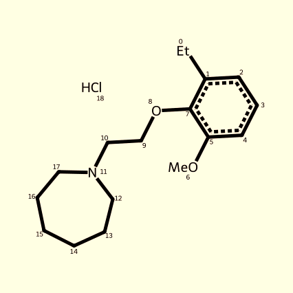 CCc1cccc(OC)c1OCCN1CCCCCC1.Cl